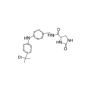 CCC(C)(C)c1ccc(Nc2ccc(CNC(=O)C3CNC(=O)N3)cc2)cc1